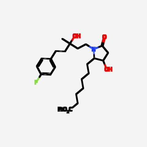 CCOC(=O)CCCCCCC1C(O)CC(=O)N1CCC(C)(O)CCc1ccc(F)cc1